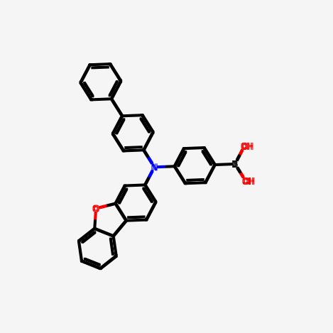 OB(O)c1ccc(N(c2ccc(-c3ccccc3)cc2)c2ccc3c(c2)oc2ccccc23)cc1